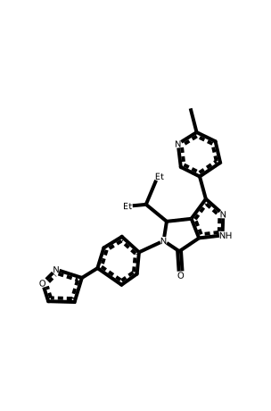 CCC(CC)C1c2c(-c3ccc(C)nc3)n[nH]c2C(=O)N1c1ccc(-c2ccon2)cc1